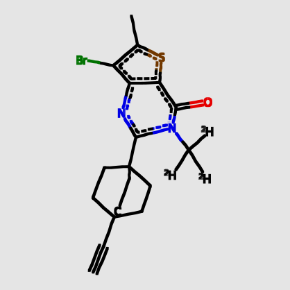 [2H]C([2H])([2H])n1c(C23CCC(C#C)(CC2)CC3)nc2c(Br)c(C)sc2c1=O